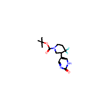 CC(C)(C)OC(=O)N1CCC(F)(F)C(c2cnc(=O)[nH]c2)C1